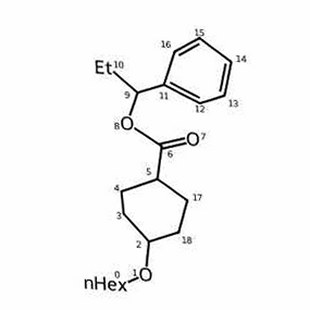 CCCCCCOC1CCC(C(=O)OC(CC)c2ccccc2)CC1